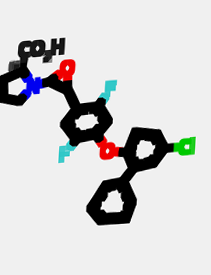 O=C(O)[C@@H]1CCCN1C1OC1c1cc(F)c(Oc2ccc(Cl)cc2-c2ccccc2)cc1F